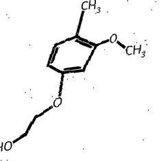 COc1cc(OCCO)ccc1C